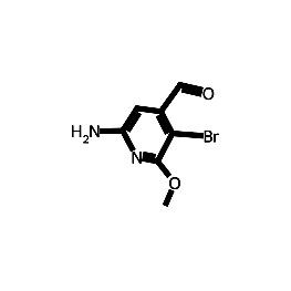 COc1nc(N)cc(C=O)c1Br